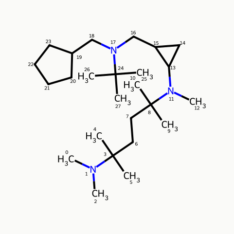 CN(C)C(C)(C)CCC(C)(C)N(C)C1CC1CN(CC1CCCC1)C(C)(C)C